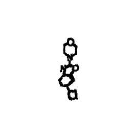 Clc1ccc2nc(N3CCOCC3)oc2c1